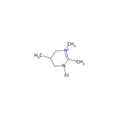 CCN1CC(C)C[N+](C)=C1C